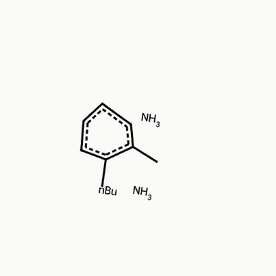 CCCCc1ccccc1C.N.N